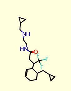 O=C(CC(C1C=CCCC1CC1CC1)C(F)(F)F)NCCNCC1CC1